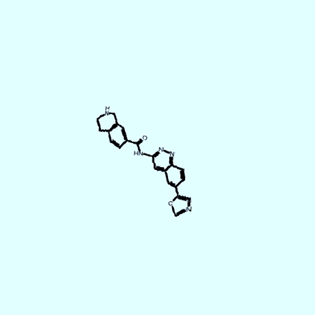 O=C(Nc1cc2cc(-c3cnco3)ccc2nn1)c1ccc2c(c1)CNCC2